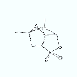 CC1C2OS(=O)(=O)C3CC1(C)OC23C